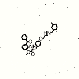 COC(=O)[C@H](Cc1ccc(OCCCNCc2cccc(C)c2)cc1)Nc1ccccc1C(=O)c1ccccc1